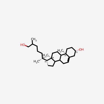 CC(CO)CCC[C@@H](C)[C@H]1CCC2C3CC=C4C[C@@H](O)CC[C@]4(C)C3CC[C@@]21C